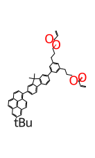 C=CC(=O)OCCCc1cc(CCCOC(=O)C=C)cc(-c2ccc3c(c2)C(C)(C)c2cc(-c4ccc5ccc6cc(C(C)(C)C)cc7ccc4c5c67)ccc2-3)c1